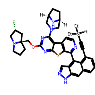 CC[Si](C#Cc1cccc2cc3[nH]ncc3c(-c3nccc4c3sc3nc(OC[C@@]56CCCN5C[C@H](F)C6)nc(N5C[C@H]6CC[C@@H](C5)N6)c34)c12)(CC)CC